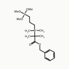 CO[Si](CCC[N+](C)(C)C(C)(C)C(=O)OCc1ccccc1)(OC)OC